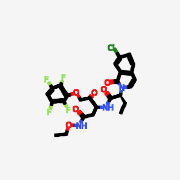 CCONC(=O)CC(NC(=O)[C@H](CC)n1ccc2ccc(Cl)cc2c1=O)C(=O)COc1c(F)c(F)cc(F)c1F